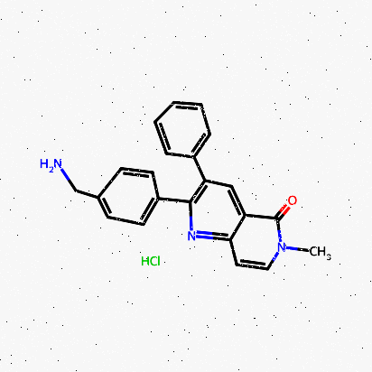 Cl.Cn1ccc2nc(-c3ccc(CN)cc3)c(-c3ccccc3)cc2c1=O